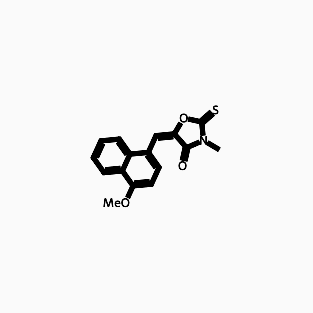 COc1ccc(/C=C2/OC(=S)N(C)C2=O)c2ccccc12